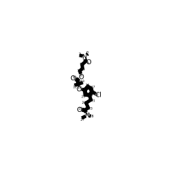 CN(C)C(=O)CCCOC(=O)C(C)(C)Oc1ccc(Cl)c(CCCC(=O)N(C)C)c1